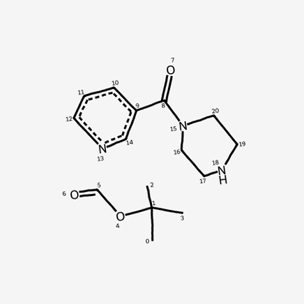 CC(C)(C)OC=O.O=C(c1cccnc1)N1CCNCC1